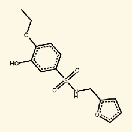 CCOc1ccc(S(=O)(=O)NCc2ccco2)cc1O